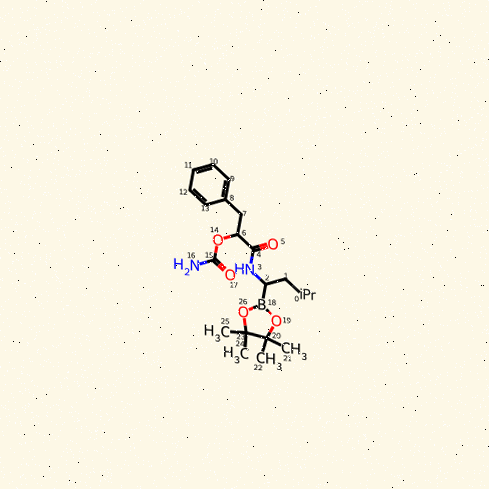 CC(C)CC(NC(=O)C(Cc1ccccc1)OC(N)=O)B1OC(C)(C)C(C)(C)O1